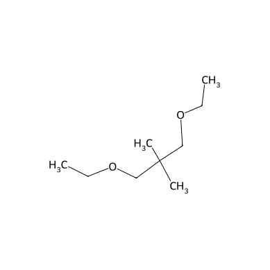 CCOCC(C)(C)COCC